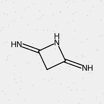 N=C1CC(=N)N1